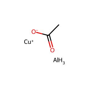 CC(=O)[O-].[AlH3].[Cu+]